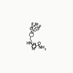 NC(=O)c1cncc(NCCC2CCN(C(=O)OC(C(F)(F)F)C(F)(F)F)CC2)n1